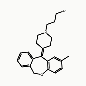 CC(=O)CCCN1CCC(=C2c3ccccc3COc3ccc(C)cc32)CC1